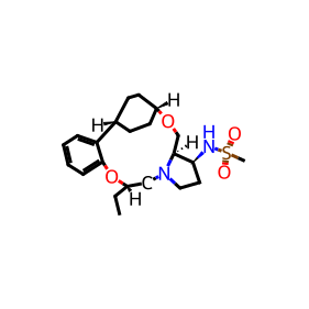 CC[C@H]1CN2CC[C@H](NS(C)(=O)=O)[C@@H]2CO[C@H]2CC[C@H](CC2)c2ccccc2O1